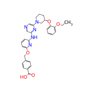 CCOc1ccccc1O[C@@H]1CCCN(c2cncc(Nc3cccc(OCc4ccc(C(=O)O)cc4)n3)n2)C1